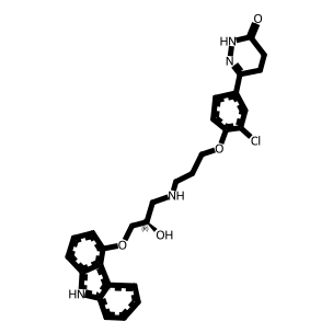 O=C1CCC(c2ccc(OCCCNC[C@@H](O)COc3cccc4[nH]c5ccccc5c34)c(Cl)c2)=NN1